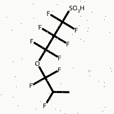 CC(F)C(F)(F)OC(F)(F)C(F)(F)C(F)(F)S(=O)(=O)O